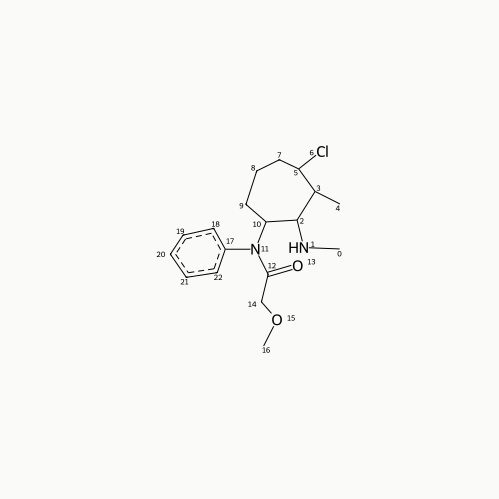 CNC1C(C)C(Cl)CCCC1N(C(=O)COC)c1ccccc1